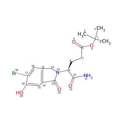 CC(C)(C)OC(=O)CC[C@@H](C(N)=O)N1Cc2cc(Br)c(O)cc2C1=O